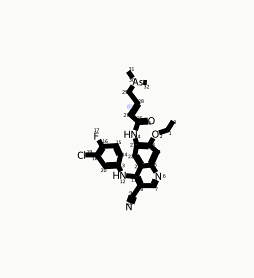 CCOc1cc2ncc(C#N)c(Nc3ccc(F)c(Cl)c3)c2cc1NC(=O)/C=C/C[As](C)C